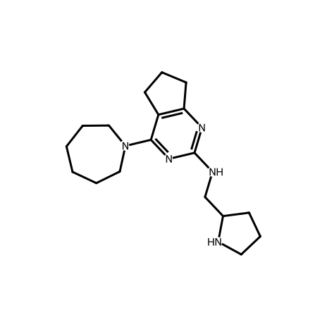 C1CCCN(c2nc(NCC3CCCN3)nc3c2CCC3)CC1